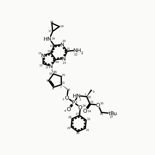 C[C@H](NP(=O)(OC[C@@H]1C=C[C@H](n2cnc3c(NC4CC4)nc(N)nc32)C1)Oc1ccccc1)C(=O)OCC(C)(C)C